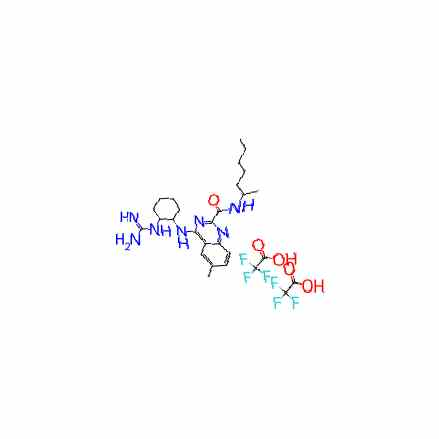 CCCCCC(C)NC(=O)c1nc(NC2CCCCC2NC(=N)N)c2cc(C)ccc2n1.O=C(O)C(F)(F)F.O=C(O)C(F)(F)F